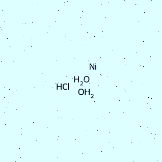 Cl.O.O.[Ni]